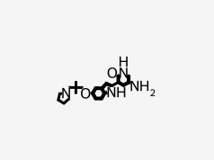 CC(C)(COc1ccc2[nH]c(-c3cc(N)c[nH]c3=O)cc2c1)CN1CCCC1